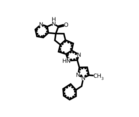 Cc1cc(-c2nc3cc4c(cc3[nH]2)CC2(C4)C(=O)Nc3ncccc32)nn1Cc1ccccc1